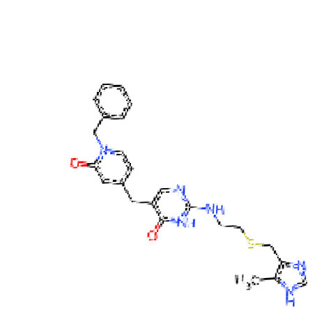 Cc1[nH]cnc1CSCCNc1ncc(Cc2ccn(Cc3ccccc3)c(=O)c2)c(=O)[nH]1